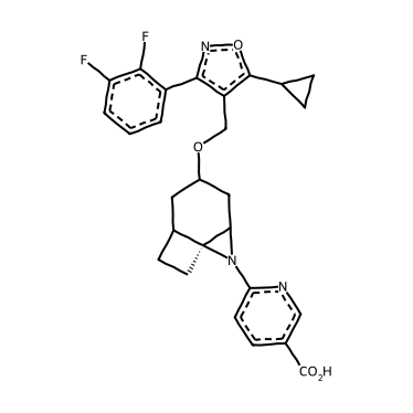 O=C(O)c1ccc(N2C3CC(OCc4c(-c5cccc(F)c5F)noc4C4CC4)CC4CC[C@]432)nc1